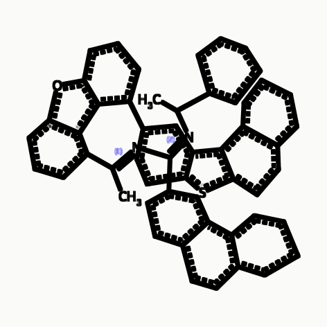 C/C(=N\C(=N/C(C)c1ccccc1)c1ccc2ccc3ccccc3c2c1)c1cccc2oc3cccc(-c4ccc5sc6ccc7ccccc7c6c5c4)c3c12